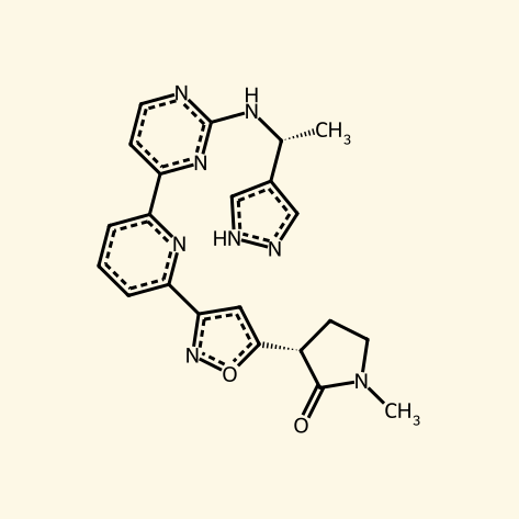 C[C@@H](Nc1nccc(-c2cccc(-c3cc([C@@H]4CCN(C)C4=O)on3)n2)n1)c1cn[nH]c1